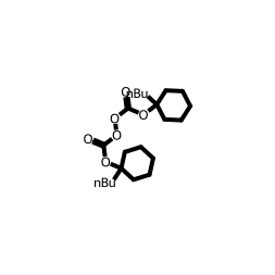 CCCCC1(OC(=O)OOC(=O)OC2(CCCC)CCCCC2)CCCCC1